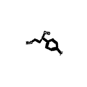 COCCN(C=O)c1ccc(F)cc1